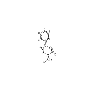 COC1COC(c2ccccc2)OC1C